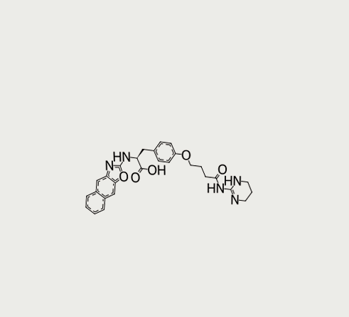 O=C(CCCOc1ccc(C[C@H](Nc2nc3cc4ccccc4cc3o2)C(=O)O)cc1)NC1=NCCCN1